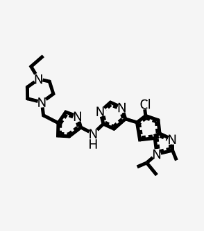 CCN1CCN(Cc2ccc(Nc3cc(-c4cc5c(cc4Cl)nc(C)n5C(C)C)ncn3)nc2)CC1